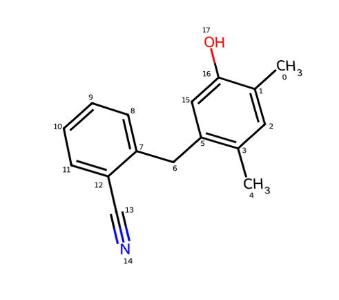 Cc1cc(C)c(Cc2ccccc2C#N)cc1O